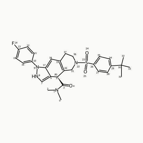 CN(C)C(=O)[C@H]1C2=CNN(c3ccc(F)cc3)C2=CC2=C1CN(S(=O)(=O)c1ccc(C(C)(C)C)cc1)CC2